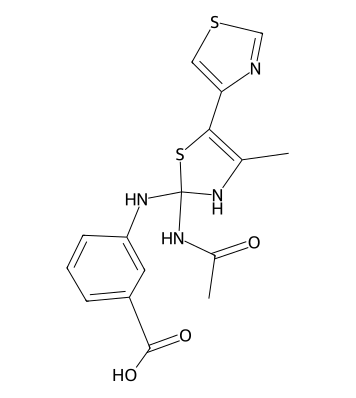 CC(=O)NC1(Nc2cccc(C(=O)O)c2)NC(C)=C(c2cscn2)S1